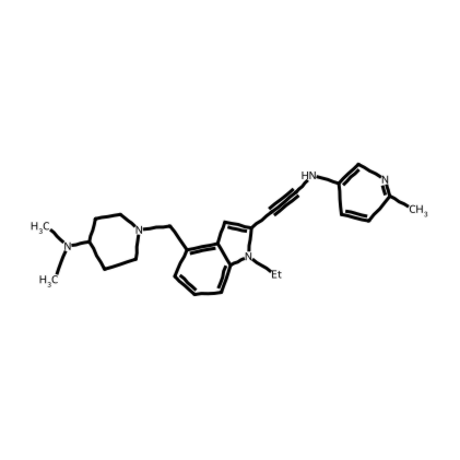 CCn1c(C#CNc2ccc(C)nc2)cc2c(CN3CCC(N(C)C)CC3)cccc21